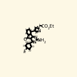 CCOC(=O)Cn1cc(-c2cccc3c2-c2nc(N)nc(-c4ccc(F)cc4)c2C3=O)cn1